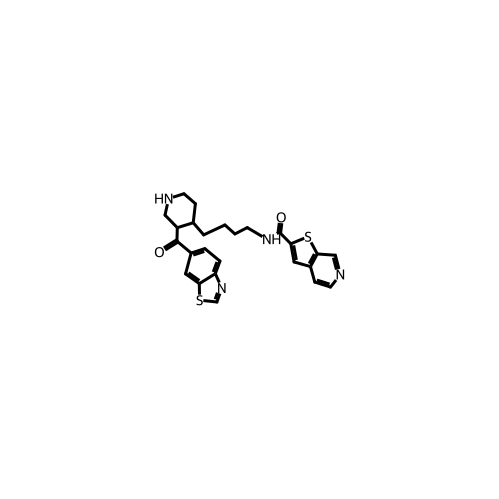 O=C(NCCCCC1CCNCC1C(=O)c1ccc2ncsc2c1)c1cc2ccncc2s1